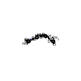 COc1cc(/C=C/C(=O)O[C@H]2CC[C@H](NC(=O)NS(=O)(=O)c3ccc(CCNC(=O)c4cc(Cl)ccc4OC)cc3)CC2)ccc1O